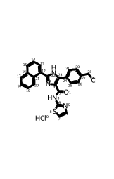 Cl.O=C(Nc1nccs1)c1nc(-c2cccc3ccccc23)[nH]c1-c1ccc(CCl)cc1